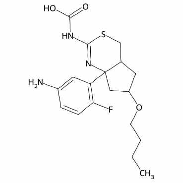 CCCCOC1CC2CSC(NC(=O)O)=NC2(c2cc(N)ccc2F)C1